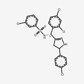 O=S(=O)(N[C@@H](C1=NNC(c2ccc(Cl)cc2)C1)c1ccc(Cl)cc1Cl)c1cccc(Cl)c1